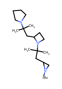 CC(C)(C)N1CC1CC(C)(C)N1CCC1CC(C)(C)N1CCCC1